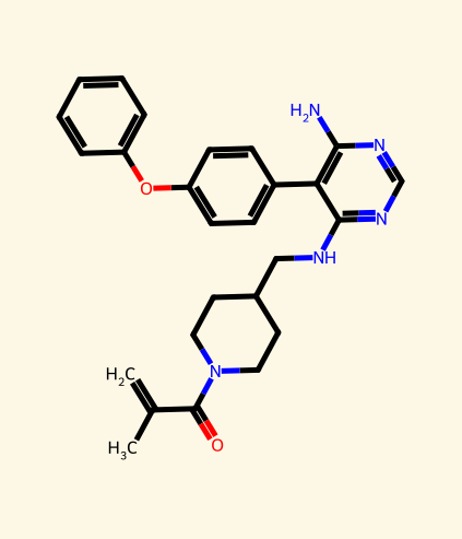 C=C(C)C(=O)N1CCC(CNc2ncnc(N)c2-c2ccc(Oc3ccccc3)cc2)CC1